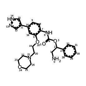 NCC(OC(=O)Nc1ccc(-c2cn[nH]c2)cc1OCCN1CCOCC1)c1ccccc1